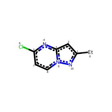 CCc1cc2nc(Cl)ccn2n1